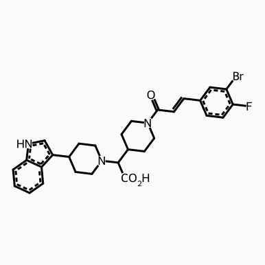 O=C(O)C(C1CCN(C(=O)C=Cc2ccc(F)c(Br)c2)CC1)N1CCC(c2c[nH]c3ccccc23)CC1